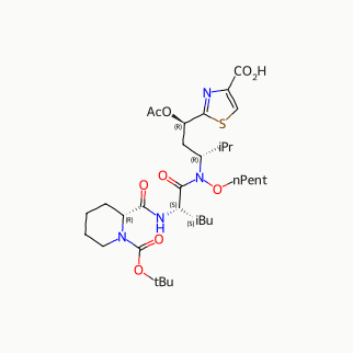 CCCCCON(C(=O)[C@@H](NC(=O)[C@H]1CCCCN1C(=O)OC(C)(C)C)[C@@H](C)CC)[C@H](C[C@@H](OC(C)=O)c1nc(C(=O)O)cs1)C(C)C